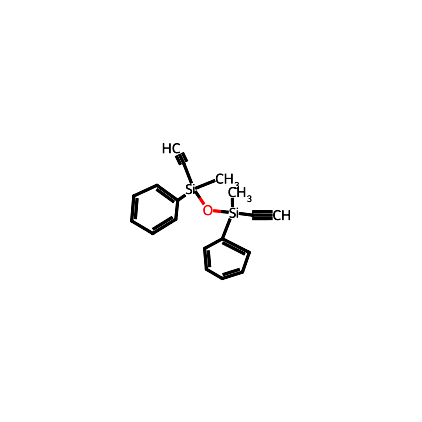 C#C[Si](C)(O[Si](C)(C#C)c1ccccc1)c1ccccc1